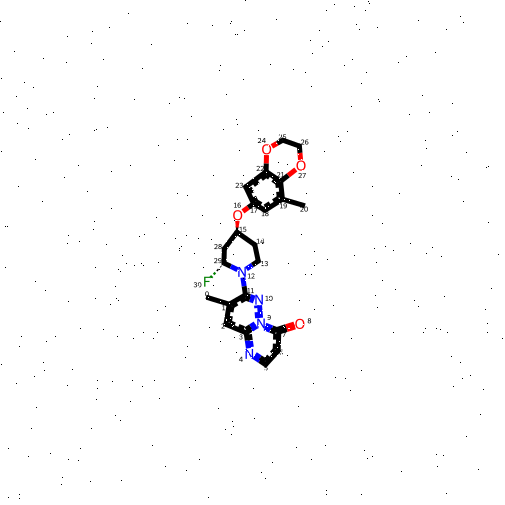 Cc1cc2nccc(=O)n2nc1N1CC[C@H](Oc2cc(C)c3c(c2)OCCO3)C[C@H]1F